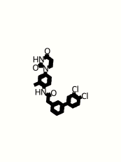 Cc1cc(-n2ccc(=O)[nH]c2=O)ccc1NC(=O)Cc1cccc(-c2ccc(Cl)c(Cl)c2)c1